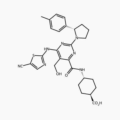 Cc1ccc([C@@H]2CCCN2c2nc(Nc3ncc(C#N)s3)c(CO)c(C(=O)N[C@H]3CC[C@H](C(=O)O)CC3)n2)cc1